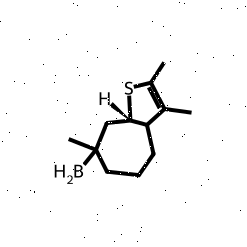 BC1(C)CCCC2C(C)=C(C)S[C@H]2C1